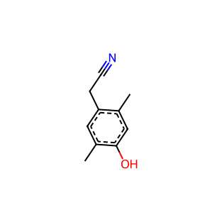 Cc1cc(CC#N)c(C)cc1O